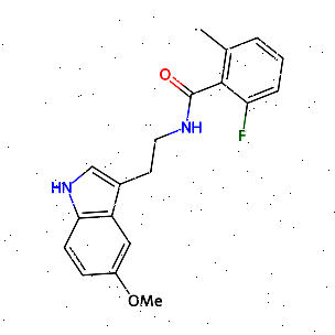 [CH2]c1cccc(F)c1C(=O)NCCc1c[nH]c2ccc(OC)cc12